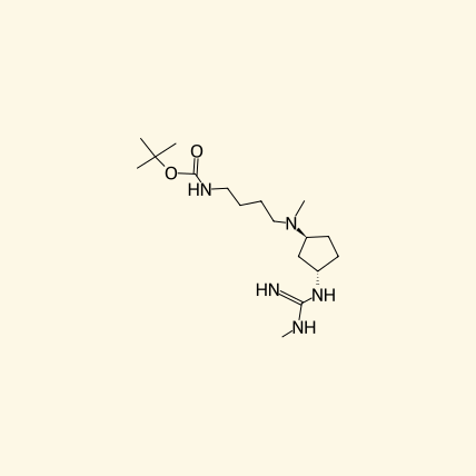 CNC(=N)N[C@H]1CC[C@H](N(C)CCCCNC(=O)OC(C)(C)C)C1